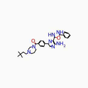 CC(C)(C)CCN1CCCN(C(=O)c2ccc(-c3cnc(N)c(C(=N)OC(=N)c4ccccc4)n3)cc2)CC1